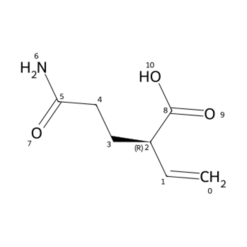 C=C[C@@H](CCC(N)=O)C(=O)O